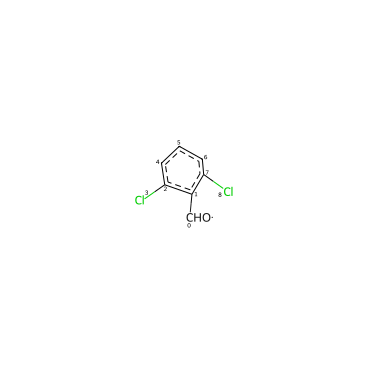 O=[C]c1c(Cl)cccc1Cl